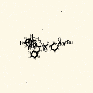 CC(C)(C)OC(=O)N1CCC[C@H](CC(=O)N[C@@H](Cc2ccccc2)B2O[C@@H]3C[C@@H]4C[C@@H](C4(C)C)[C@]3(C)O2)C1